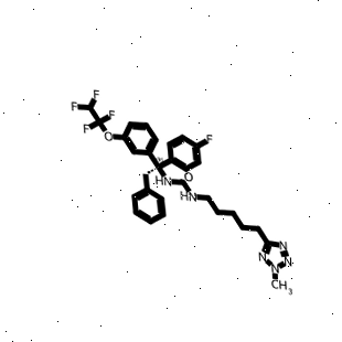 Cn1nnc(CCCCCNC(=O)N[C@](Cc2ccccc2)(c2ccc(F)cc2)c2cccc(OC(F)(F)C(F)F)c2)n1